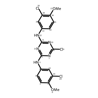 COc1ccc(Nc2nc(Cl)nc(Nc3ccc(OC)c(Cl)c3)n2)cc1Cl